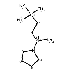 C[SiH](CC[Si](C)(C)C)N1CCCC1